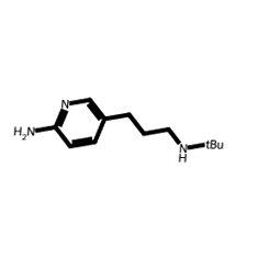 CC(C)(C)NCCCc1ccc(N)nc1